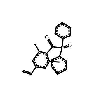 C=Cc1cc(C)c(C(=O)P(=O)(c2ccccc2)c2ccccc2)c(C)c1